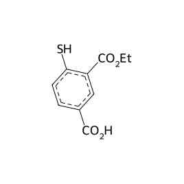 CCOC(=O)c1cc(C(=O)O)ccc1S